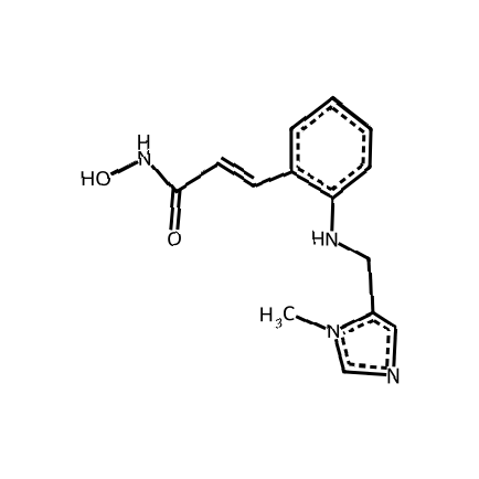 Cn1cncc1CNc1ccccc1C=CC(=O)NO